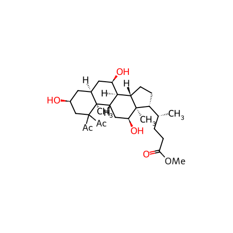 COC(=O)CC[C@@H](C)[C@H]1CC[C@H]2[C@@H]3[C@H](O)C[C@@H]4C[C@H](O)CC(C(C)=O)(C(C)=O)[C@]4(C)[C@H]3C[C@H](O)[C@]12C